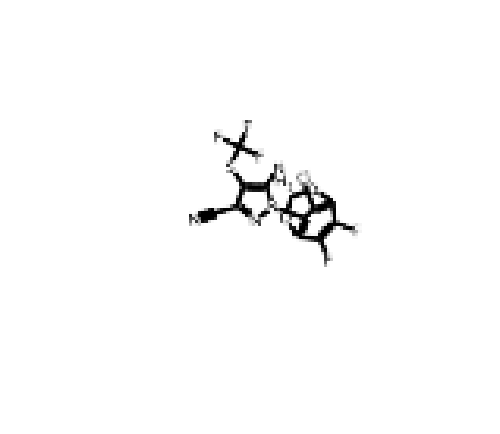 N#Cc1nn(-c2c(Cl)c3c(F)c(F)c2OCO3)c(N)c1SC(F)(F)F